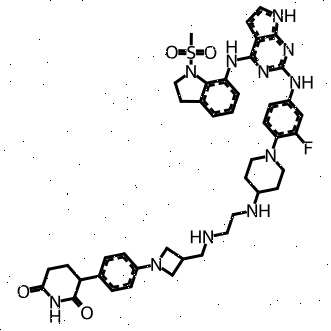 CS(=O)(=O)N1CCc2cccc(Nc3nc(Nc4ccc(N5CCC(NCCNCC6CN(c7ccc(C8CCC(=O)NC8=O)cc7)C6)CC5)c(F)c4)nc4[nH]ccc34)c21